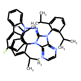 CC(C)c1cccc(C(C)C)c1-n1c(=Nn2c3ccccc3c3cc(F)ccc32)n(-c2c(C(C)C)cccc2C(C)C)c2nccnc21